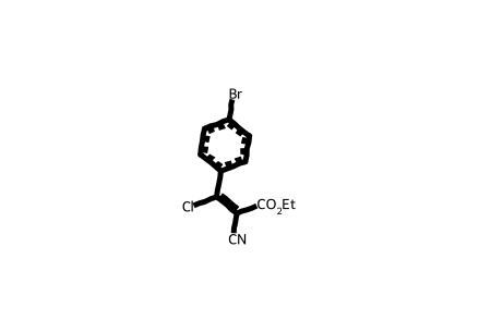 CCOC(=O)/C(C#N)=C(/Cl)c1ccc(Br)cc1